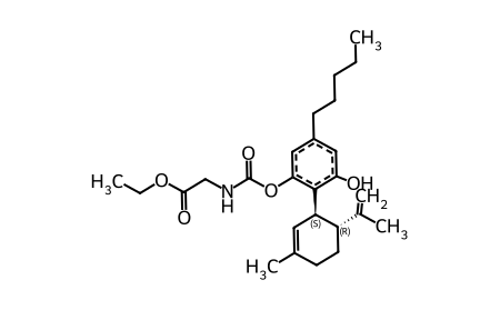 C=C(C)[C@@H]1CCC(C)=C[C@H]1c1c(O)cc(CCCCC)cc1OC(=O)NCC(=O)OCC